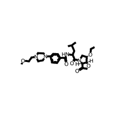 CCO[C@H]1CN(C(=O)C(CC(C)C)NC(=O)c2ccc(N3CCN(CCOC)CC3)cc2)[C@@H]2C(=O)CO[C@H]12